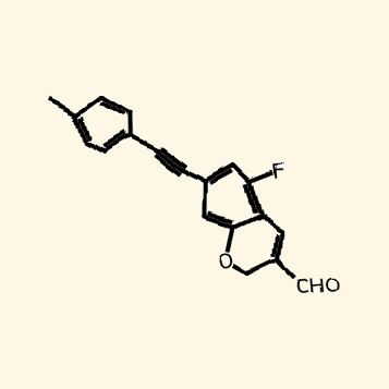 Cc1ccc(C#Cc2cc(F)c3c(c2)OCC(C=O)=C3)cc1